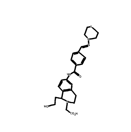 O=C(O)CN1CCc2cc(NC(=O)c3ccc(C=NN4CCSCC4)cc3)ccc2C1CCO